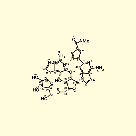 CNC(=O)c1cnn(-c2nc(N)c3ncn([C@@H]4O[C@H](CO)[C@H](O)C4Oc4nc(N)c5ncn([C@@H]6O[C@H](CO)[C@H](O)C6O)c5n4)c3n2)c1